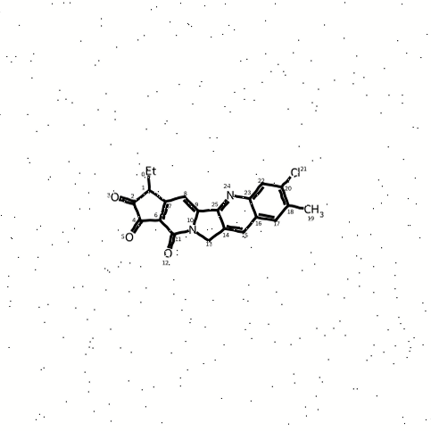 CC[C]1C(=O)C(=O)c2c1cc1n(c2=O)Cc2cc3cc(C)c(Cl)cc3nc2-1